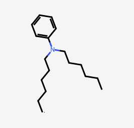 [CH2]CCCCCN(CCCCCC)c1ccccc1